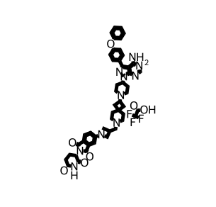 Nc1ncnc2c1c(-c1ccc(Oc3ccccc3)cc1)nn2C1CCN(C2CC3(CCN(CC4CN(c5ccc6c(c5)C(=O)N(C5CCC(=O)NC5=O)C6=O)C4)CC3)C2)CC1.O=C(O)C(F)(F)F